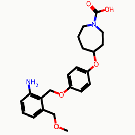 COCc1cccc(N)c1COc1ccc(OC2CCCN(C(=O)O)CC2)cc1